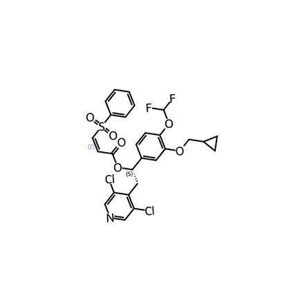 O=C(/C=C\S(=O)(=O)c1ccccc1)O[C@@H](Cc1c(Cl)cncc1Cl)c1ccc(OC(F)F)c(OCC2CC2)c1